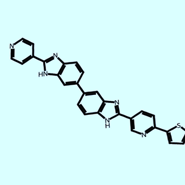 c1csc(-c2ccc(-c3nc4cc(-c5ccc6nc(-c7ccncc7)[nH]c6c5)ccc4[nH]3)cn2)c1